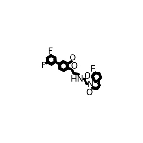 O=C(Cn1c(=O)ccc2ccc(F)cc21)NCCC1OC(=O)c2cc(-c3cc(F)cc(F)c3)ccc21